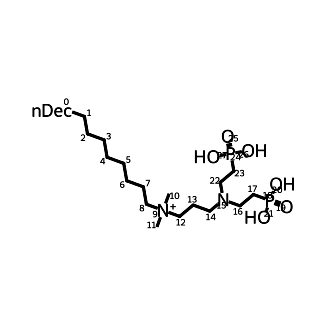 CCCCCCCCCCCCCCCCCC[N+](C)(C)CCCN(CCP(=O)(O)O)CCP(=O)(O)O